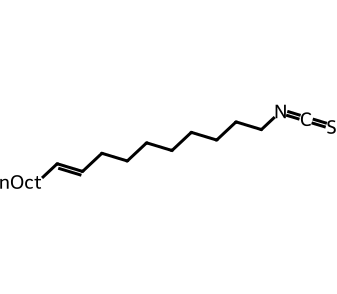 CCCCCCCC/C=C/CCCCCCCCN=C=S